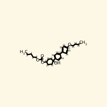 CCCCCOC(=O)OC1CCC(O)(c2ccc(-c3ccc(OCCCC)cc3)cc2)CC1